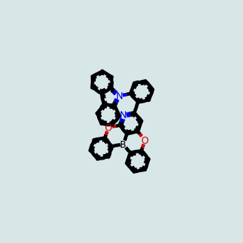 c1ccc2c(c1)Oc1cc(-c3ccccc3-n3c4ccccc4c4ccccc43)nc3c1B2c1ccccc1O3